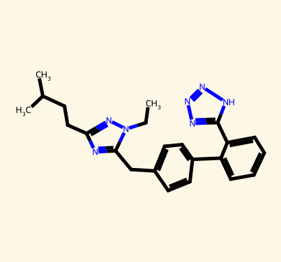 CCn1nc(CCC(C)C)nc1Cc1ccc(-c2ccccc2-c2nnn[nH]2)cc1